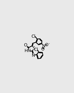 O=C1NC(=Nc2ccccc2Cl)SC1=Cc1cc([N+](=O)[O-])ccc1Cl